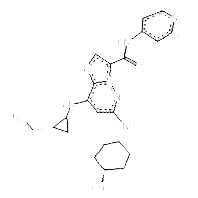 N[C@H]1CC[C@H](Nc2cc(NC3C[C@@H]3CO)c3ncc(C(=O)Nc4ccncc4)n3n2)CC1